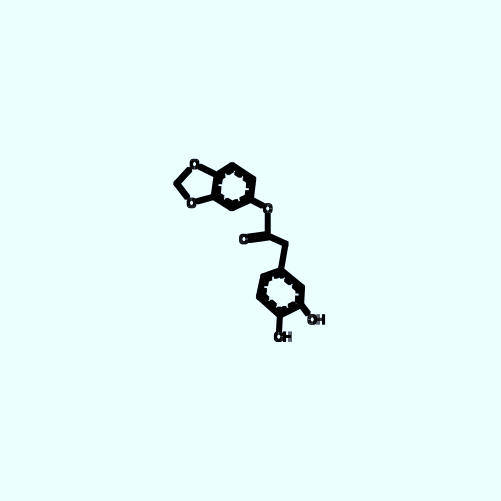 O=C(Cc1ccc(O)c(O)c1)Oc1ccc2c(c1)OCO2